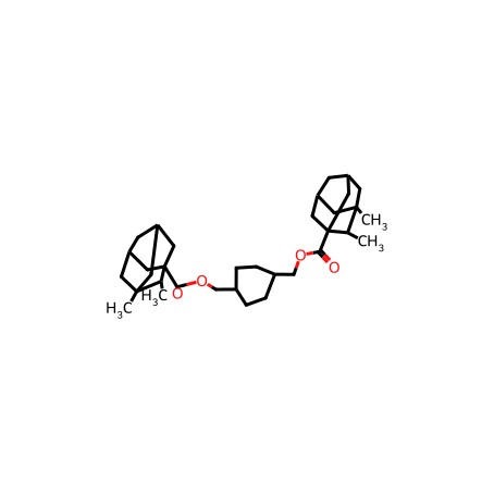 CC1C2(C)CC3CC(C2)CC1(C(=O)OCC1CCC(COC(=O)C24CC5CC(CC(C)(C5)C2C)C4)CC1)C3